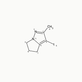 Cc1nn2c(c1I)CCC2